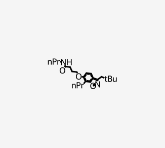 CCCNC(=O)CCCOc1ccc2c(CC(C)(C)C)noc2c1CCC